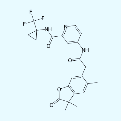 Cc1cc2c(cc1CC(=O)Nc1ccnc(C(=O)NC3(C(F)(F)F)CC3)c1)OC(=O)C2(C)C